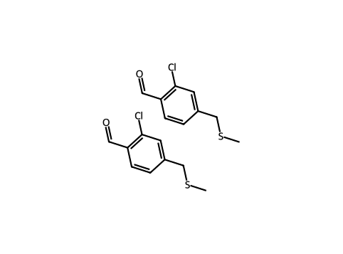 CSCc1ccc(C=O)c(Cl)c1.CSCc1ccc(C=O)c(Cl)c1